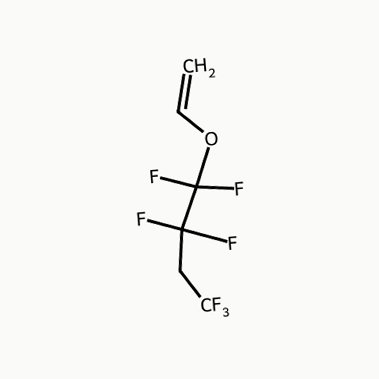 C=COC(F)(F)C(F)(F)CC(F)(F)F